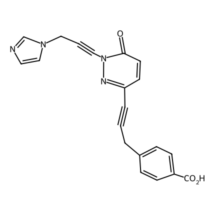 O=C(O)c1ccc(CC#Cc2ccc(=O)n(C#CCn3ccnc3)n2)cc1